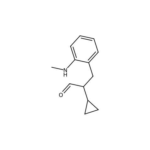 CNc1ccccc1CC(C=O)C1CC1